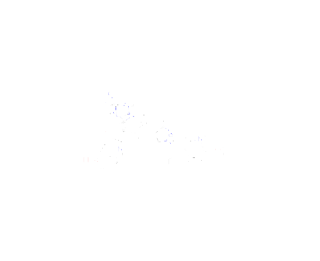 CCC(c1ccc(OC(F)(F)F)nc1)n1cc(-c2cc(C(=O)NC(C)(C)CO)c3nc(N)nn3c2)cn1